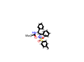 COC(=O)N[C@H](c1ccccc1)[C@H](NS(=O)(=O)c1ccc(C)cc1)c1ccccc1